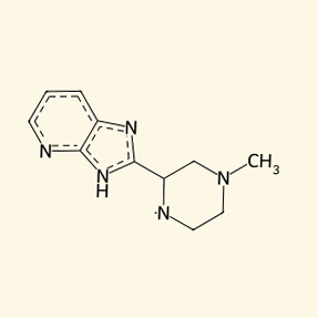 CN1CC[N]C(c2nc3cccnc3[nH]2)C1